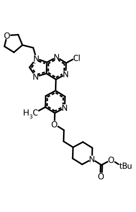 Cc1cc(-c2nc(Cl)nc3c2ncn3CC2CCOC2)cnc1OCCC1CCN(C(=O)OC(C)(C)C)CC1